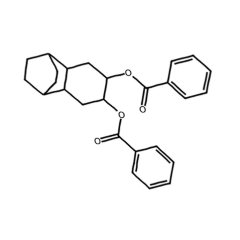 O=C(OC1CC2C3CCC(CC3)C2CC1OC(=O)c1ccccc1)c1ccccc1